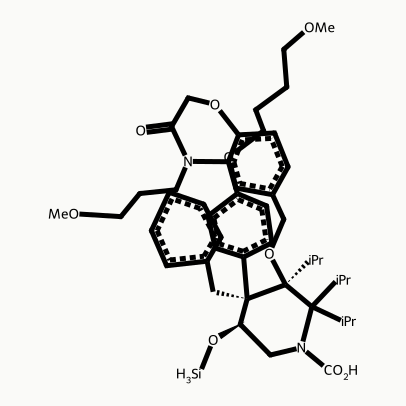 COCCCCOc1ccc([C@]2(Cc3ccccc3)[C@H](O[SiH3])CN(C(=O)O)C(C(C)C)(C(C)C)[C@@]2(OCc2ccc3c(c2)N(CCCOC)C(=O)CO3)C(C)C)cc1